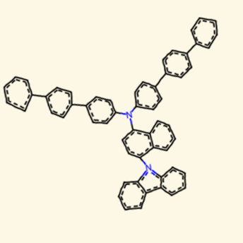 c1ccc(-c2ccc(-c3ccc(N(c4ccc(-c5ccc(-c6ccccc6)cc5)cc4)c4ccc(-n5c6ccccc6c6ccccc65)c5ccccc45)cc3)cc2)cc1